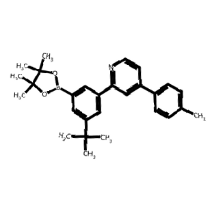 Cc1ccc(-c2ccnc(-c3cc(B4OC(C)(C)C(C)(C)O4)cc(C(C)(C)C)c3)c2)cc1